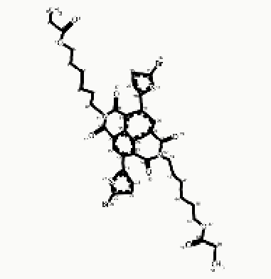 CCC(=O)OCCCCCCN1C(=O)c2cc(-c3ccc(Br)s3)c3c4c(cc(-c5ccc(Br)s5)c(c24)C1=O)C(=O)N(CCCCCCOC(=O)CC)C3=O